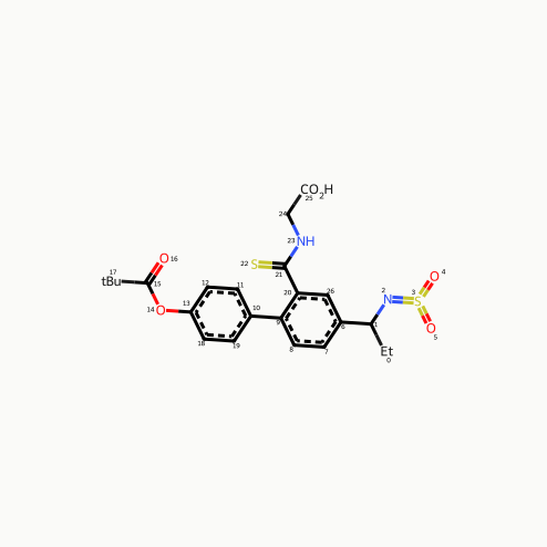 CCC(N=S(=O)=O)c1ccc(-c2ccc(OC(=O)C(C)(C)C)cc2)c(C(=S)NCC(=O)O)c1